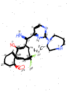 C[C@H]1CNCCCN1c1nccc(C(=N)C2=C(O)C3(CCCCC3=O)CC(F)(F)C2)n1